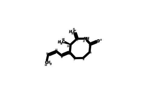 C=C1NC(=O)CCC/C(=C/C=C\C)[C@H]1C